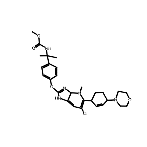 COC(=O)NC(C)(C)c1ccc(OC2=NC3C(=CC(Cl)=C(C4C=CC(N5CCOCC5)CC4)N3C)N2)cc1